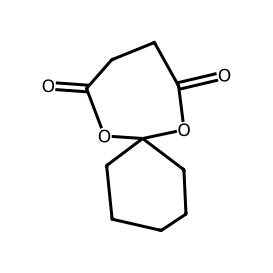 O=C1CCC(=O)OC2(CCCCC2)O1